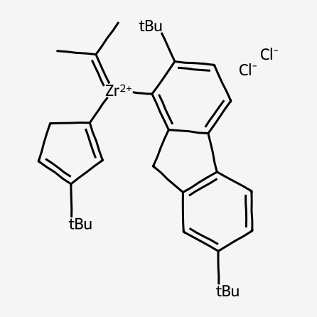 C[C](C)=[Zr+2]([C]1=CC(C(C)(C)C)=CC1)[c]1c(C(C)(C)C)ccc2c1Cc1cc(C(C)(C)C)ccc1-2.[Cl-].[Cl-]